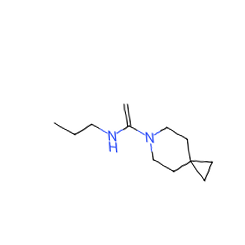 C=C(NCCC)N1CCC2(CC1)CC2